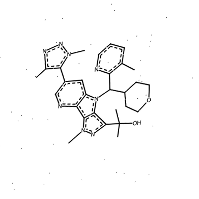 Cc1cccnc1C(C1CCOCC1)n1c2cc(-c3c(C)nnn3C)cnc2c2c1c(C(C)(C)O)nn2C